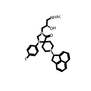 CC(=O)NC[C@@H](O)CN1CN(c2ccc(F)cc2)C2(CCN([C@@H]3Cc4cccc5cccc3c45)CC2)C1=O